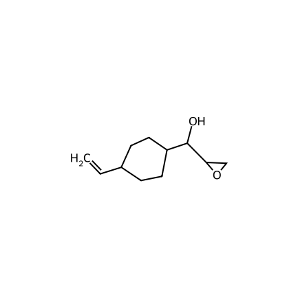 C=CC1CCC(C(O)C2CO2)CC1